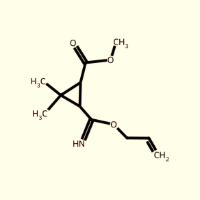 C=CCOC(=N)C1C(C(=O)OC)C1(C)C